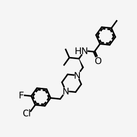 Cc1ccc(C(=O)N[C@@H](CN2CCN(Cc3ccc(F)c(Cl)c3)CC2)C(C)C)cc1